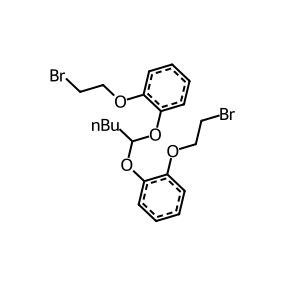 CCCCC(Oc1ccccc1OCCBr)Oc1ccccc1OCCBr